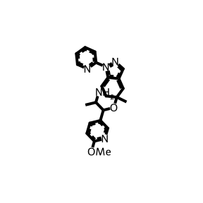 COc1ccc(C(OC2(C)C=c3cnn(-c4ccccn4)c3=CC2)C(C)N)cn1